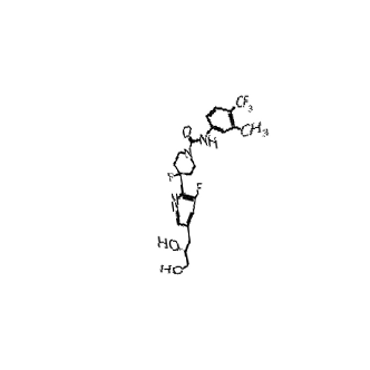 Cc1cc(NC(=O)N2CCC(F)(c3ncc(C[C@@H](O)CO)cc3F)CC2)ccc1C(F)(F)F